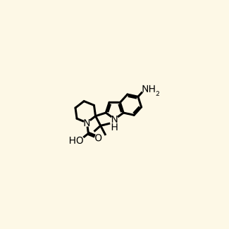 CC(C)(C)C1(c2cc3cc(N)ccc3[nH]2)CCCCN1C(=O)O